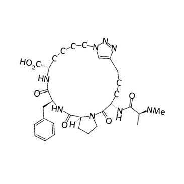 CN[C@@H](C)C(=O)N[C@H]1CCCc2cn(nn2)CCCC[C@@H](C(=O)O)NC(=O)[C@H](Cc2ccccc2)NC(=O)[C@@H]2CCCN2C1=O